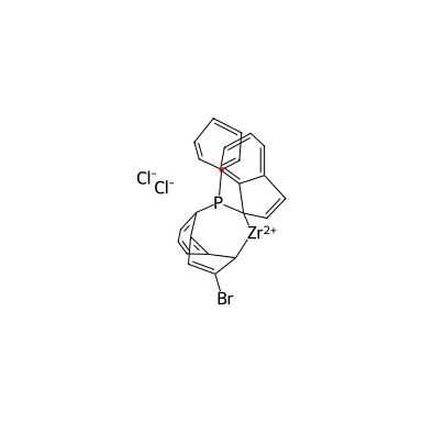 BrC1=Cc2c3cccc2P(c2ccccc2)[C]2(C=Cc4ccccc42)[Zr+2][CH]13.[Cl-].[Cl-]